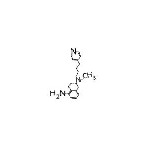 CCN(CCCCc1ccncc1)C1CCc2c(N)cccc2C1